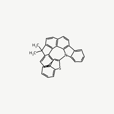 CC1(C)c2ccccc2-c2c1ccc1ccc3c4ccccc4n(-c4cc5ccccc5s4)c3c21